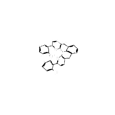 Cc1ccccc1-c1ccc2c(n1)N1c3nc(-c4ccccc4C)ccc3Cc3cccc(c31)C2